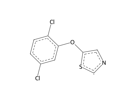 Clc1ccc(Cl)c(Oc2cn[c]s2)c1